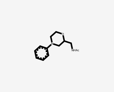 CC(=O)NCC1CN(c2ccccc2)CCO1